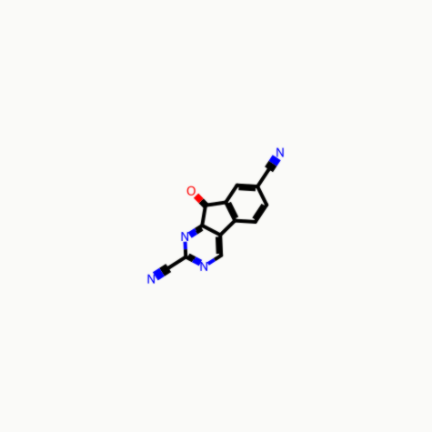 N#Cc1ccc2c(c1)C(=O)c1nc(C#N)ncc1-2